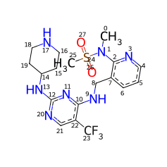 CN(c1ncccc1CNc1nc(NC2CCNCC2)ncc1C(F)(F)F)S(C)(=O)=O